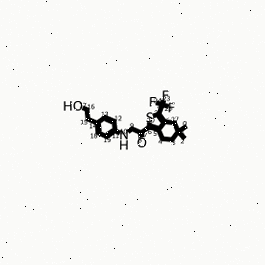 CC1(C)CCc2c(C(=O)CNc3ccc(CCO)cc3)sc(C(F)(F)F)c2C1